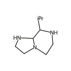 CC(C)C1NCCN2CCNC12